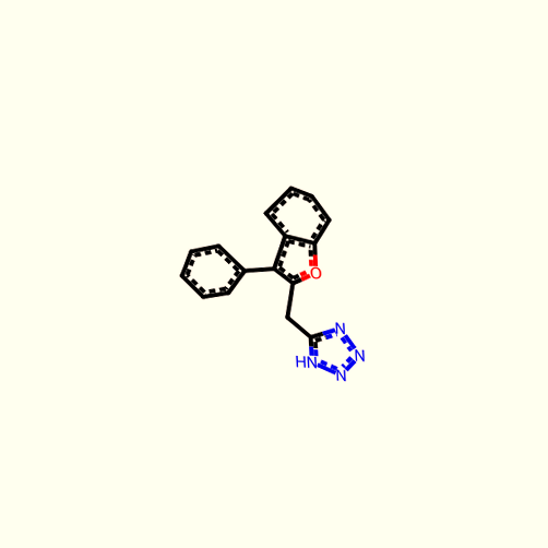 c1ccc(-c2c(Cc3nnn[nH]3)oc3ccccc23)cc1